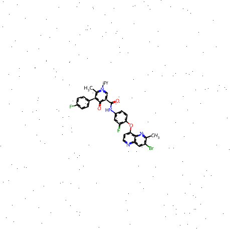 Cc1nc2c(Oc3ccc(NC(=O)c4cn(C(C)C)c(C)c(-c5ccc(F)cc5)c4=O)cc3F)ccnc2cc1Br